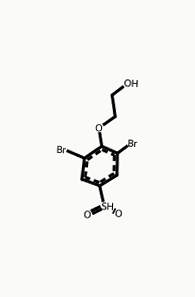 O=[SH](=O)c1cc(Br)c(OCCO)c(Br)c1